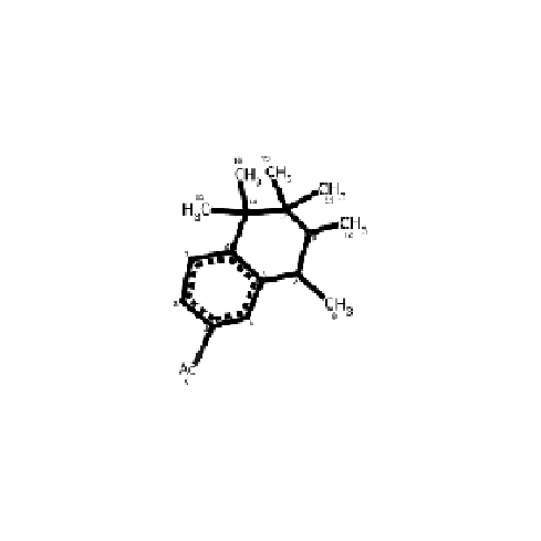 CC(=O)c1ccc2c(c1)C(C)C(C)C(C)(C)C2(C)C